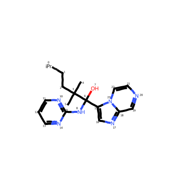 CC(C)CCC(C)(C)C(O)(Nc1ncccn1)c1cnc2cnccn12